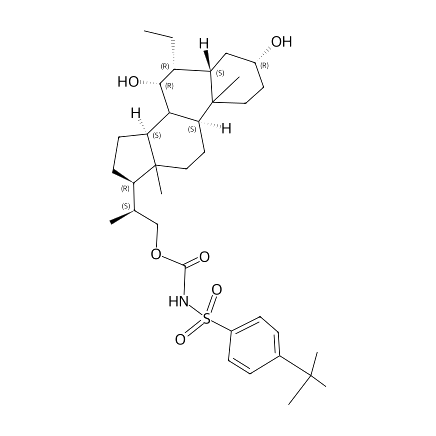 CC[C@H]1[C@@H](O)C2[C@@H]3CC[C@H]([C@H](C)COC(=O)NS(=O)(=O)c4ccc(C(C)(C)C)cc4)C3(C)CC[C@@H]2C2(C)CC[C@@H](O)C[C@@H]12